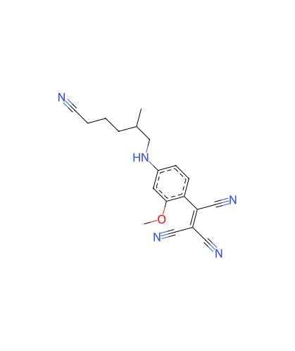 COc1cc(NCC(C)CCCC#N)ccc1C(C#N)=C(C#N)C#N